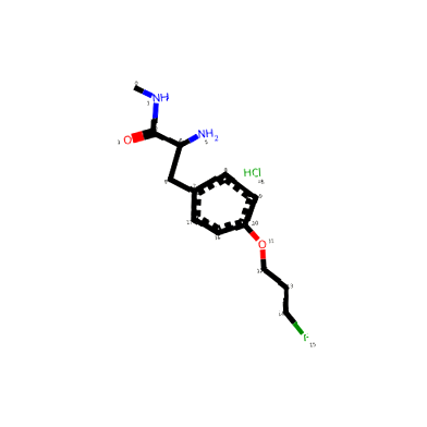 CNC(=O)C(N)Cc1ccc(OCCCF)cc1.Cl